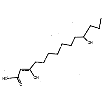 CCCC(O)CCCCCCCC(O)=CC(=O)O